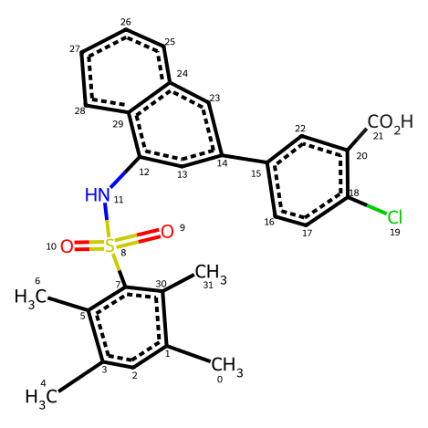 Cc1cc(C)c(C)c(S(=O)(=O)Nc2cc(-c3ccc(Cl)c(C(=O)O)c3)cc3ccccc23)c1C